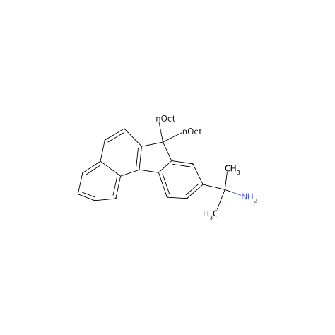 CCCCCCCCC1(CCCCCCCC)c2cc(C(C)(C)N)ccc2-c2c1ccc1ccccc21